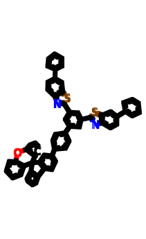 c1ccc(-c2ccc3nc(-c4cc(-c5ccc(-c6ccc7c(c6)C6(c8ccccc8Oc8ccccc86)c6ccccc6-7)cc5)cc(-c5nc6ccc(-c7ccccc7)cc6s5)c4)sc3c2)cc1